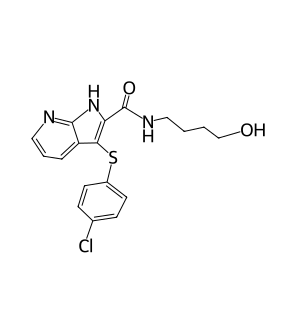 O=C(NCCCCO)c1[nH]c2ncccc2c1Sc1ccc(Cl)cc1